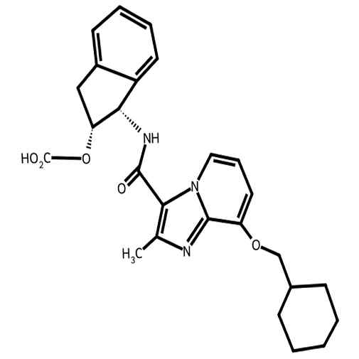 Cc1nc2c(OCC3CCCCC3)cccn2c1C(=O)N[C@H]1c2ccccc2C[C@H]1OC(=O)O